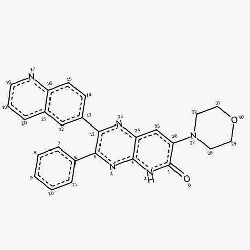 O=c1[nH]c2nc(-c3ccccc3)c(-c3ccc4ncccc4c3)nc2cc1N1CCOCC1